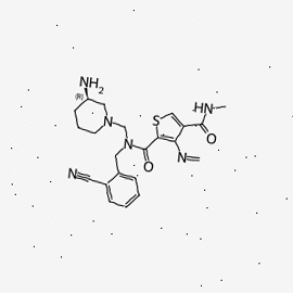 C=Nc1c(C(=O)NC)csc1C(=O)N(Cc1ccccc1C#N)CN1CCC[C@@H](N)C1